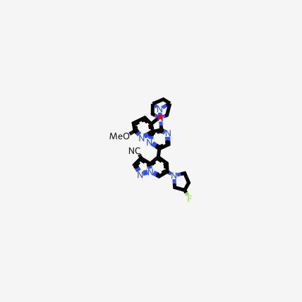 COc1ccc(CN2C3CC2CN(c2cnc(-c4cc(N5CCC(F)C5)cn5ncc(C#N)c45)cn2)C3)cn1